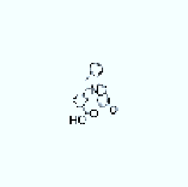 COc1ccc2c(c1)cc(-c1ccccc1C)n2Cc1cccc(C(=O)O)c1